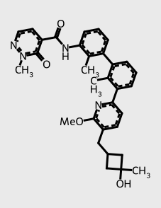 COc1nc(-c2cccc(-c3cccc(NC(=O)c4ccnn(C)c4=O)c3C)c2C)ccc1CC1CC(C)(O)C1